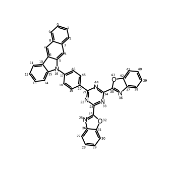 c1ccc2cc3c(cc2c1)c1ccccc1n3-c1ccc(-c2nc(-c3nc4ccccc4o3)nc(-c3nc4ccccc4o3)n2)cc1